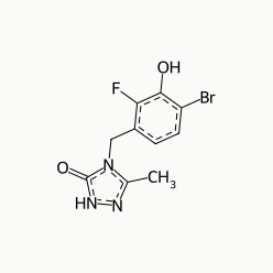 Cc1n[nH]c(=O)n1Cc1ccc(Br)c(O)c1F